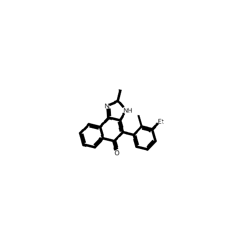 CCc1cccc(C2=C3NC(C)N=C3c3ccccc3C2=O)c1C